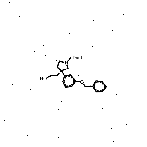 CCCCCN1CCC(CCO)(c2cccc(OCc3ccccc3)c2)C1